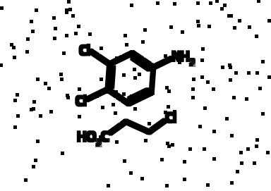 Nc1ccc(Cl)c(Cl)c1.O=C(O)CCCl